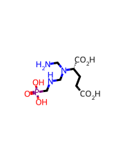 NCN(CNCP(=O)(O)O)[C@@H](CCC(=O)O)C(=O)O